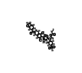 CCC(=O)OC(C)OC(=O)[C@H](Cc1cccc(S(C)(=O)=O)c1)NC(=O)c1c(Cl)cc2c(c1Cl)CCN(C(=O)c1ccc3ccoc3c1)C2